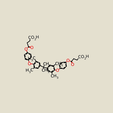 Cc1cc(C(C)(C)c2cc(C)c(Oc3ccc(OC(=O)CCC(=O)O)cc3)c(C)c2)cc(C)c1Oc1ccc(OC(=O)CCC(=O)O)cc1